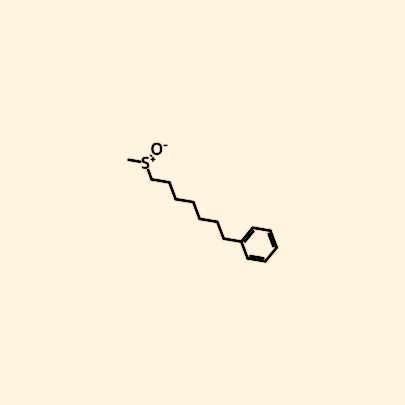 C[S+]([O-])CCCCCCCc1ccccc1